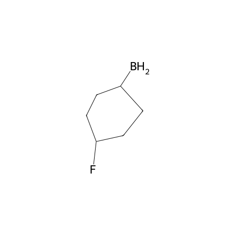 BC1CCC(F)CC1